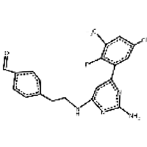 Cc1cc(Cl)cc(-c2cc(NCCc3ccc(C=O)cc3)nc(N)n2)c1F